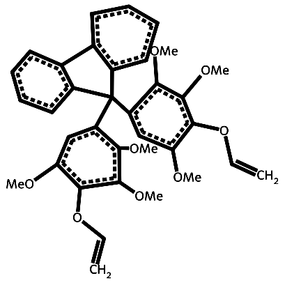 C=COc1c(OC)cc(C2(c3cc(OC)c(OC=C)c(OC)c3OC)c3ccccc3-c3ccccc32)c(OC)c1OC